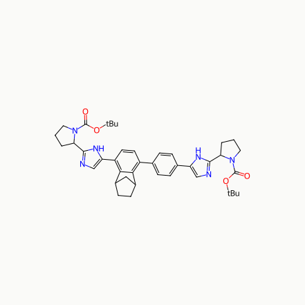 CC(C)(C)OC(=O)N1CCCC1c1ncc(-c2ccc(-c3ccc(-c4cnc(C5CCCN5C(=O)OC(C)(C)C)[nH]4)c4c3C3CCC4C3)cc2)[nH]1